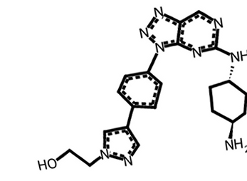 N[C@H]1CC[C@H](Nc2ncc3nnn(-c4ccc(-c5cnn(CCO)c5)cc4)c3n2)CC1